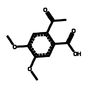 COc1cc(C(C)=O)c(C(=O)O)cc1OC